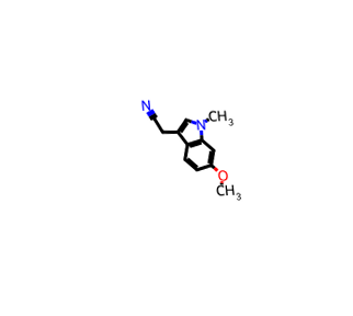 COc1ccc2c(CC#N)cn(C)c2c1